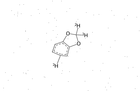 [2H]c1ccc2c(c1)OC([2H])([2H])O2